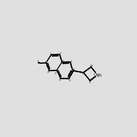 Cc1ccc2cc(C3CNC3)ccc2c1